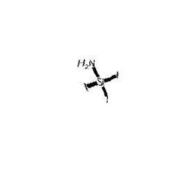 N[Si](I)(I)I